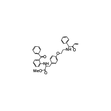 C=CC(=O)C(NCCOc1ccc(CC(Nc2ccccc2C(=O)c2ccccc2)C(=O)OC)cc1)c1ccccc1